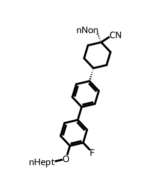 CCCCCCCCC[C@]1(C#N)CC[C@H](c2ccc(-c3ccc(OCCCCCCC)c(F)c3)cc2)CC1